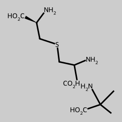 CC(C)(N)C(=O)O.NC(CSC[C@H](N)C(=O)O)C(=O)O